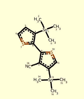 [CH3][Sn]([CH3])([CH3])[c]1ccsc1-c1sc[c]([Sn]([CH3])([CH3])[CH3])c1C#N